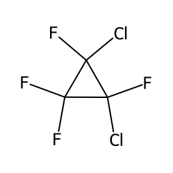 FC1(F)C(F)(Cl)C1(F)Cl